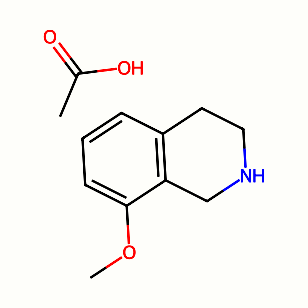 CC(=O)O.COc1cccc2c1CNCC2